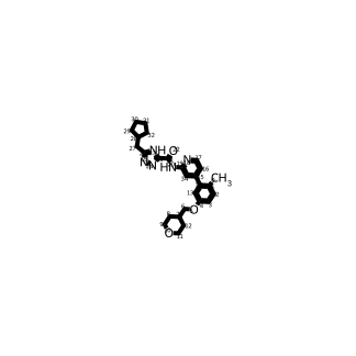 Cc1ccc(OCC2CCOCC2)cc1-c1ccnc(NC(=O)c2nnc(CC3CCCC3)[nH]2)c1